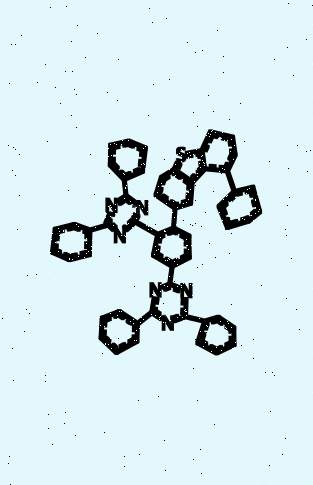 c1ccc(-c2nc(-c3ccccc3)nc(-c3ccc(-c4ccc5sc6cccc(-c7ccccc7)c6c5c4)c(-c4nc(-c5ccccc5)nc(-c5ccccc5)n4)c3)n2)cc1